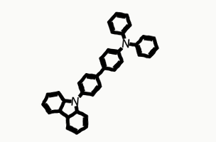 C1=CC2C3C=CC=CC3N(c3ccc(-c4ccc(N(c5ccccc5)c5ccccc5)cc4)cc3)C2C=C1